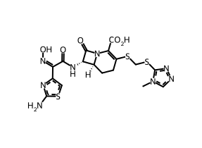 Cn1cnnc1SCSC1=C(C(=O)O)N2C(=O)[C@@H](NC(=O)/C(=N\O)c3csc(N)n3)[C@@H]2CC1